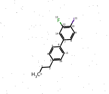 CCCc1ccc(-c2ccc(I)c(F)c2)cc1